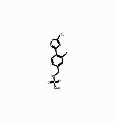 CNS(=O)(=O)NCc1ccc(-c2noc(C(F)(F)F)n2)c(F)c1